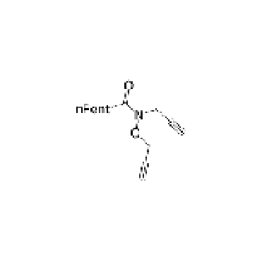 C#CCON(CC#C)C(=O)CCCCC